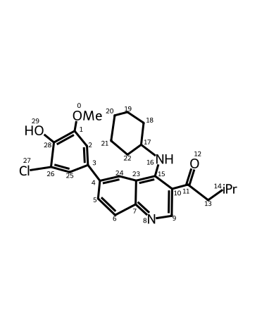 COc1cc(-c2ccc3ncc(C(=O)CC(C)C)c(NC4CCCCC4)c3c2)cc(Cl)c1O